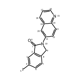 O=C1c2cc(I)ccc2CN1c1ccc2ncccc2c1